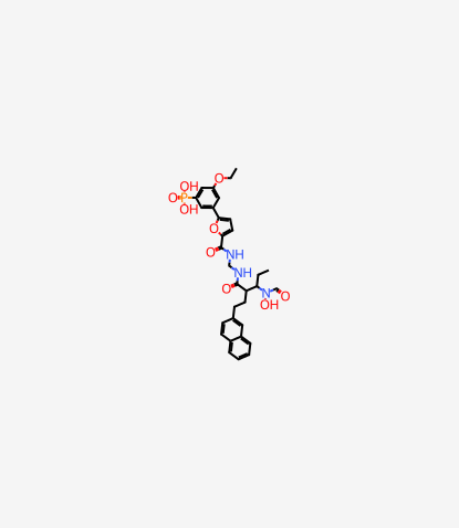 CCOc1cc(-c2ccc(C(=O)NCNC(=O)C(CCc3ccc4ccccc4c3)C(CC)N(O)C=O)o2)cc(P(=O)(O)O)c1